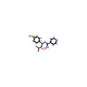 CC(C)CC(C/C(=N\O)c1ccncc1)c1ccc(Br)cc1